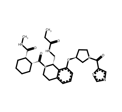 CCC(=O)NC[C@@H]1c2c(cccc2O[C@H]2CCN(C(=O)c3cncs3)C2)CCN1C(=O)[C@@H]1CCCC[C@@H]1C(=O)NC